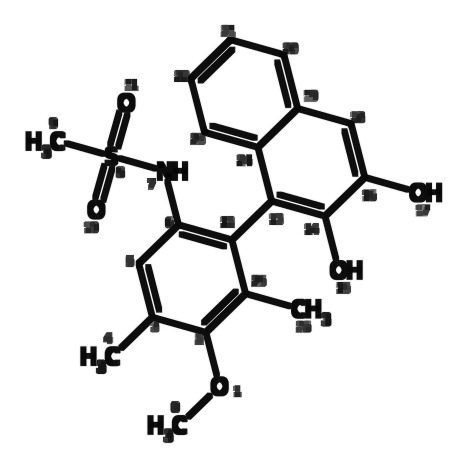 COc1c(C)cc(NS(C)(=O)=O)c(-c2c(O)c(O)cc3ccccc23)c1C